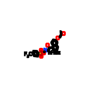 CCCCCC/C(=N\OS(=O)(=O)c1ccc(C(F)(F)F)cc1)C(=O)c1cccc2cc(OCC3CO3)ccc12